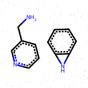 NCc1cccnc1.c1ccc2c(c1)N2